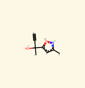 [C]#CC(C)(O)c1cc(C)no1